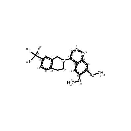 COc1cc2nncc(N3CCc4ccc(C(F)(F)F)cc4C3)c2cc1OC